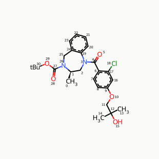 C[C@@H]1CN(C(=O)c2ccc(OCC(C)(C)O)cc2Cl)c2ccccc2CN1C(=O)OC(C)(C)C